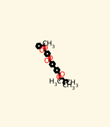 CCC(CC)C[C@@H](C)OC(=O)c1ccc(-c2ccc(C(=O)Oc3ccc(C(=O)O[C@H](C)c4ccccc4)cc3)cc2)cc1